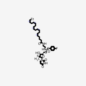 CC/C=C\C/C=C\C/C=C\C/C=C\C/C=C\CCCC(=O)NCCNP(=O)(OC[C@H]1O[C@@H](n2ccc(=O)[nH]c2=O)[C@](C)(F)[C@@H]1O)Oc1ccc(F)cc1